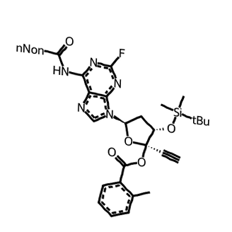 C#C[C@]1(OC(=O)c2ccccc2C)O[C@@H](n2cnc3c(NC(=O)CCCCCCCCC)nc(F)nc32)C[C@@H]1O[Si](C)(C)C(C)(C)C